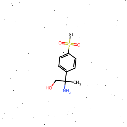 CCS(=O)(=O)c1ccc(C(C)(N)CO)cc1